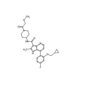 COCC(=O)N1CCC(NC(=O)c2c(C)[nH]c3c(-c4ccc(F)cc4OCC4CC4)ccnc23)CC1